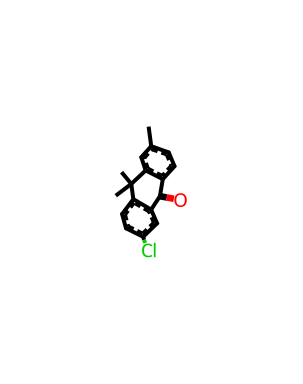 Cc1ccc2c(c1)C(C)(C)c1ccc(Cl)cc1C2=O